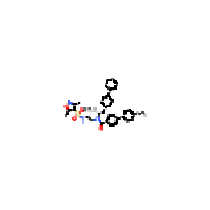 Cc1noc(C)c1S(=O)(=O)NCCN(C(=O)c1ccc(-c2ccc(C(F)(F)F)cc2)cc1)[C@@H](Cc1ccc(-c2ccccc2)cc1)C(=O)O